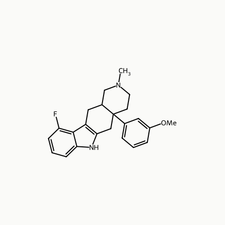 COc1cccc(C23CCN(C)CC2Cc2c([nH]c4cccc(F)c24)C3)c1